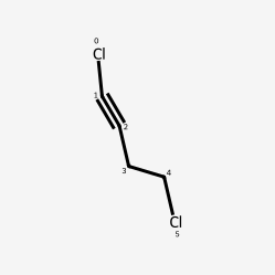 ClC#CCCCl